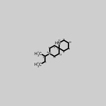 CCC(C)N1CCC2(CCCCN2)CC1